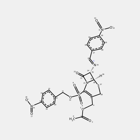 CC(=O)OCC1=C(S(=O)(=O)OCc2ccc([N+](=O)[O-])cc2)N2C(=O)[C@H](/N=C/c3ccc([N+](=O)[O-])cc3)[C@H]2SC1